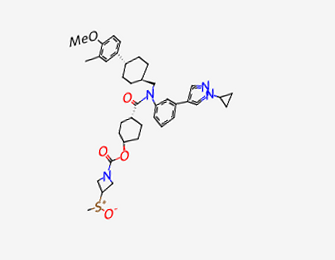 COc1ccc([C@H]2CC[C@H](CN(c3cccc(-c4cnn(C5CC5)c4)c3)C(=O)[C@H]3CC[C@H](OC(=O)N4CC([S+](C)[O-])C4)CC3)CC2)cc1C